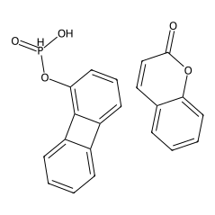 O=[PH](O)Oc1cccc2c1-c1ccccc1-2.O=c1ccc2ccccc2o1